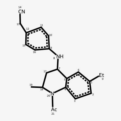 CCc1ccc2c(c1)C(Nc1ccc(CC#N)cc1)CC(C)N2C(C)=O